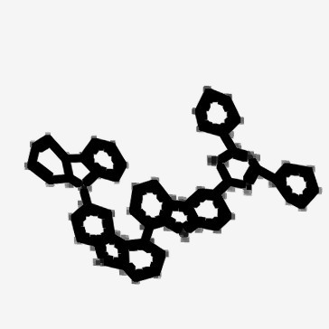 C1=CC2c3ccccc3N(c3ccc4sc5cccc(-c6cccc7c6oc6ccc(C8N=C(c9ccccc9)N=C(c9ccccc9)N8)cc67)c5c4c3)C2C=C1